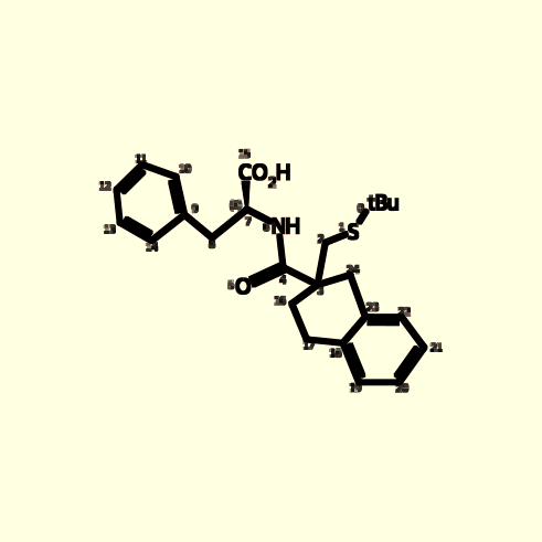 CC(C)(C)SCC1(C(=O)N[C@@H](Cc2ccccc2)C(=O)O)CCc2ccccc2C1